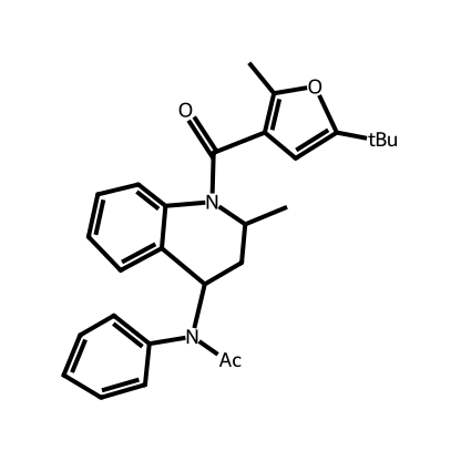 CC(=O)N(c1ccccc1)C1CC(C)N(C(=O)c2cc(C(C)(C)C)oc2C)c2ccccc21